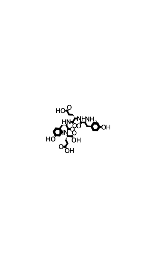 N[C@@H](Cc1ccc(O)cc1)C(=O)N[C@@H](CCC(=O)O)C(=O)N[C@@H](Cc1ccc(O)cc1)C(=O)N[C@@H](CCC(=O)O)C(=O)O